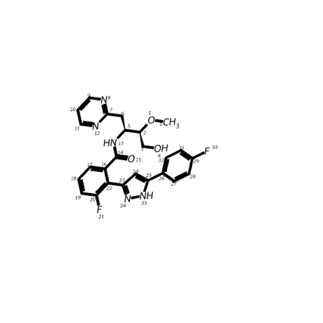 CO[C@@H](CO)[C@H](Cc1ncccn1)NC(=O)c1cccc(F)c1-c1cc(-c2ccc(F)cc2)[nH]n1